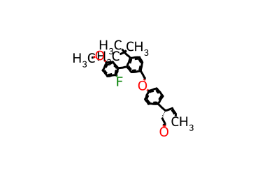 C/C=C\[C@H](CC=O)c1ccc(OCc2ccc(C(C)(C)C)c(-c3cc(OC)ccc3F)c2)cc1